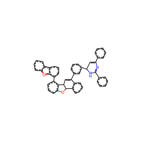 C1=C(c2ccccc2)N=C(c2ccccc2)NC1c1cccc(C2=CC3c4c(cccc4-c4cccc5c4oc4ccccc45)OC3c3ccccc32)c1